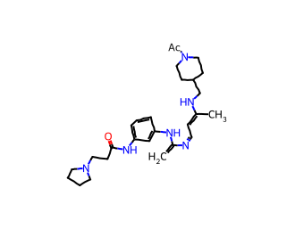 C=C(/N=C\C=C(/C)NCC1CCN(C(C)=O)CC1)Nc1cccc(NC(=O)CCN2CCCC2)c1